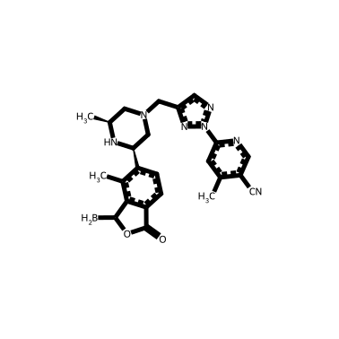 BC1OC(=O)c2ccc([C@@H]3CN(Cc4cnn(-c5cc(C)c(C#N)cn5)n4)C[C@H](C)N3)c(C)c21